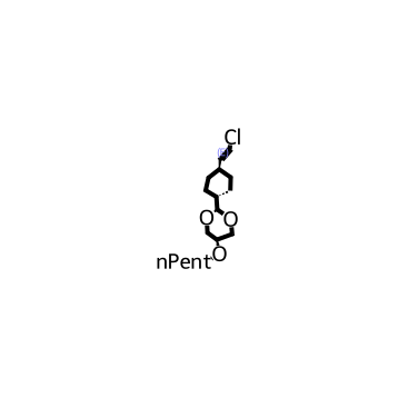 CCCCCO[C@H]1CO[C@H]([C@H]2CC[C@H](/C=C/Cl)CC2)OC1